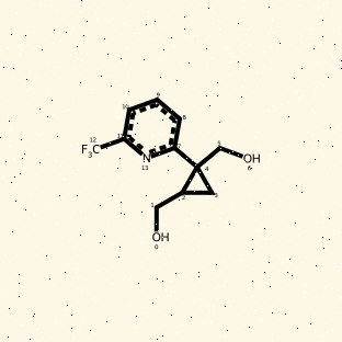 OCC1CC1(CO)c1cccc(C(F)(F)F)n1